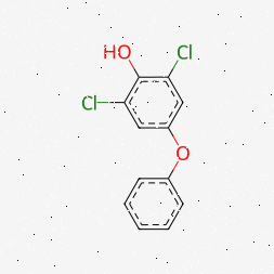 Oc1c(Cl)cc(Oc2ccccc2)cc1Cl